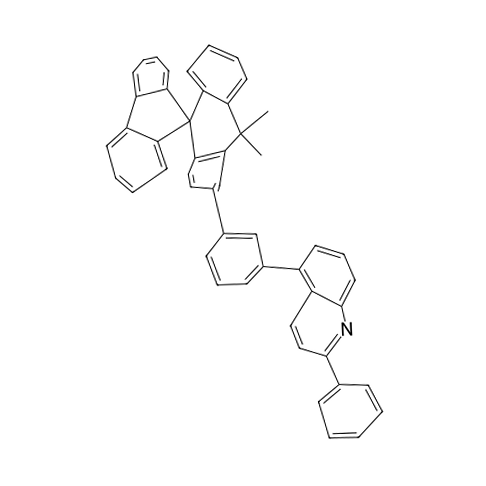 CC1(C)c2ccccc2C2(c3ccccc3-c3ccccc32)c2ccc(-c3cccc(-c4cccc5nc(-c6ccccc6)ccc45)c3)cc21